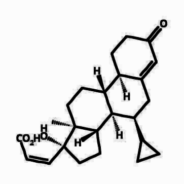 C[C@]12CC[C@H]3[C@@H]([C@H](C4CC4)CC4=CC(=O)CC[C@@H]43)[C@@H]1CC[C@@]2(O)/C=C\C(=O)O